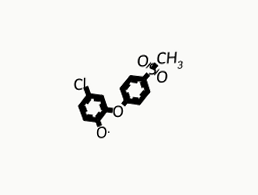 CS(=O)(=O)c1ccc(Oc2cc(Cl)ccc2[O])cc1